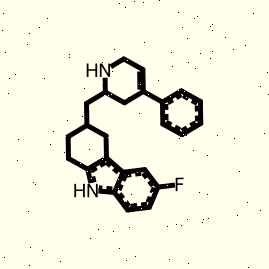 Fc1ccc2[nH]c3c(c2c1)CC(CC1CC(c2ccccc2)=CCN1)CC3